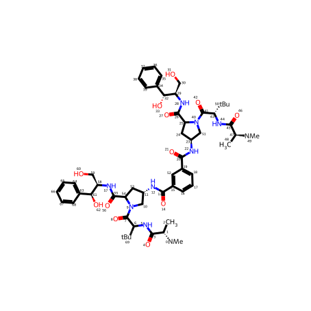 CN[C@@H](C)C(=O)NC(C(=O)N1C[C@@H](NC(=O)c2cccc(C(=O)N[C@H]3CC(C(=O)N[C@H](CO)[C@H](O)c4ccccc4)N(C(=O)[C@@H](NC(=O)[C@H](C)NC)C(C)(C)C)C3)c2)CC1C(=O)N[C@H](CO)[C@@H](O)c1ccccc1)C(C)(C)C